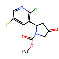 CC(C)(C)OC(=O)N1CC(=O)C[C@@H]1c1cc(F)cnc1Cl